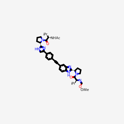 COO/C=N\[C@H](C(=O)N1CCC[C@H]1c1nc2cc(C#Cc3ccc(-c4c[nH]c([C@@H]5CCCN5C(=O)[C@@H](NC(C)=O)C(C)C)n4)cc3)ccc2[nH]1)C(C)C